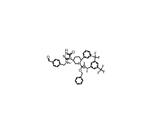 C[C@@H](OC[C@@]1(c2ccccc2)CC[C@](CNCc2ccc(C=O)cc2)(n2cn[nH]c2=O)CN1C(=O)OCc1ccccc1)c1cc(C(F)(F)F)cc(C(F)(F)F)c1